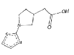 O=C(O)CC1CCN(c2nccs2)C1